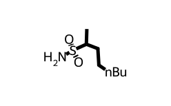 CCCCCCC(C)S(N)(=O)=O